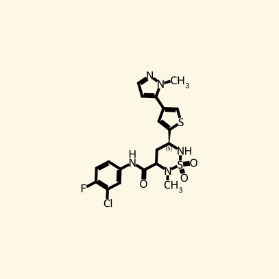 CN1C(C(=O)Nc2ccc(F)c(Cl)c2)C[C@@H](c2cc(-c3ccnn3C)cs2)NS1(=O)=O